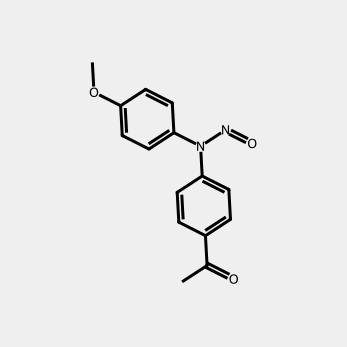 COc1ccc(N(N=O)c2ccc(C(C)=O)cc2)cc1